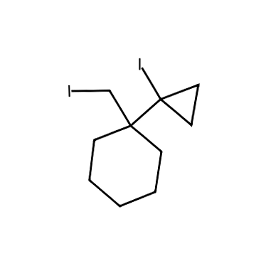 ICC1(C2(I)CC2)CCCCC1